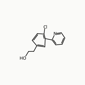 OCCc1ccc(Cl)c(-c2ccccn2)c1